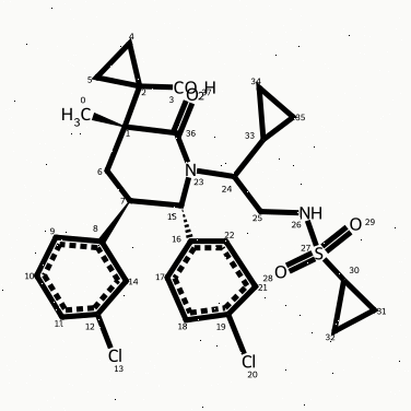 C[C@]1(C2(C(=O)O)CC2)C[C@H](c2cccc(Cl)c2)[C@@H](c2ccc(Cl)cc2)N(C(CNS(=O)(=O)C2CC2)C2CC2)C1=O